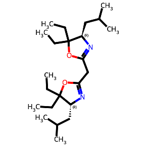 CCC1(CC)OC(CC2=N[C@H](CC(C)C)C(CC)(CC)O2)=N[C@@H]1CC(C)C